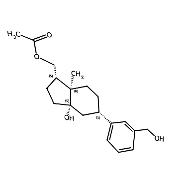 CC(=O)OC[C@H]1CC[C@]2(O)C[C@@H](c3cccc(CO)c3)CC[C@]12C